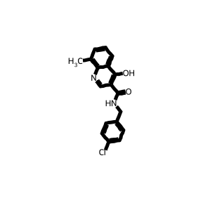 Cc1cccc2c(O)c(C(=O)NCc3ccc(Cl)cc3)cnc12